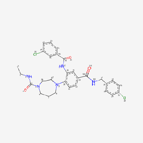 CCNC(=O)N1CCCN(c2ccc(C(=O)NCc3ccc(Cl)cc3)cc2NC(=O)c2cccc(Cl)c2)CC1